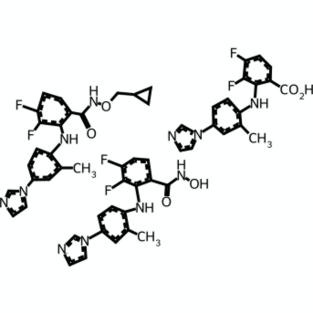 Cc1cc(-n2ccnc2)ccc1Nc1c(C(=O)NO)ccc(F)c1F.Cc1cc(-n2ccnc2)ccc1Nc1c(C(=O)NOCC2CC2)ccc(F)c1F.Cc1cc(-n2ccnc2)ccc1Nc1c(C(=O)O)ccc(F)c1F